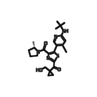 Cc1cc(NC(C)(C)C)ncc1-c1sc(C(=O)C2(CO)CC2)nc1C(=O)N1CCC[C@@H]1C